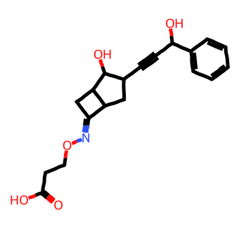 O=C(O)CCON=C1CC2C1CC(C#CC(O)c1ccccc1)C2O